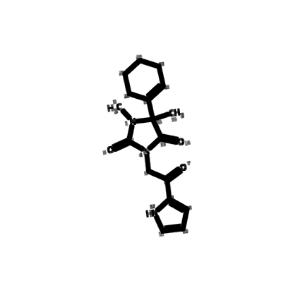 CN1C(=O)N(CC(=O)c2ccc[nH]2)C(=O)C1(C)C1=CCCCC1